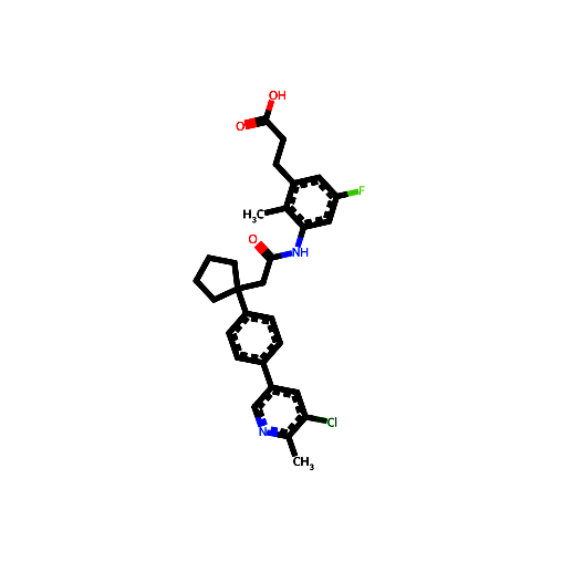 Cc1ncc(-c2ccc(C3(CC(=O)Nc4cc(F)cc(CCC(=O)O)c4C)CCCC3)cc2)cc1Cl